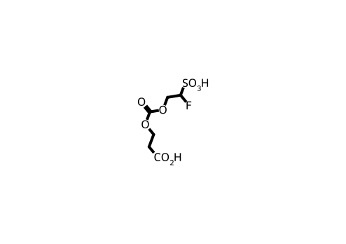 O=C(O)CCOC(=O)OCC(F)S(=O)(=O)O